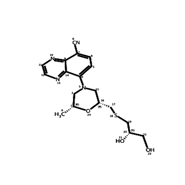 C[C@@H]1CN(c2ccc(C#N)c3nccnc23)C[C@H](CSC[C@@H](O)CO)O1